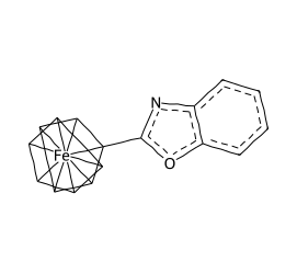 c1ccc2oc([C]34[CH]5[CH]6[CH]7[CH]3[Fe]6754389%10[CH]4[CH]3[CH]8[CH]9[CH]4%10)nc2c1